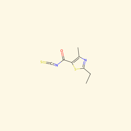 CCc1nc(C)c(C(=O)N=C=S)s1